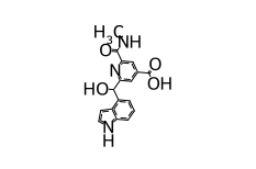 CNC(=O)c1cc(C(=O)O)cc(C(O)c2cccc3[nH]ccc23)n1